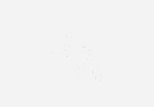 CCOC(=O)COC(=O)c1cc(Oc2ccc(C(F)(F)F)cc2Cl)ccc1[N+](=O)[O-].CCS(=O)(=O)c1nc2ccccn2c1S(=O)(=O)NC(=O)Nc1nc(OC)cc(OC)n1.O=C(O)COc1ccc(Cl)c2cccnc12